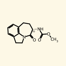 COC(=O)N[C@H]1CCc2cccc3c2N(CC3)C1=O